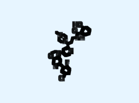 CN1CCN(C(CCNC(=O)c2ccccc2O)c2cc(N3CCOc4cnc(-c5cc(Cl)ccc5F)cc43)ccn2)CC1